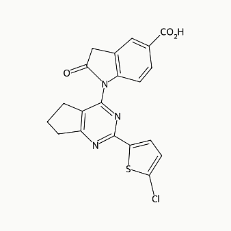 O=C(O)c1ccc2c(c1)CC(=O)N2c1nc(-c2ccc(Cl)s2)nc2c1CCC2